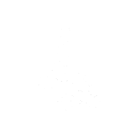 c1ccc(-c2ccc(-c3ccc(N(c4ccccc4)c4ccc5c(c4)c4ccccc4n5-c4nc5ccccc5c5nc6ccccc6n45)cc3)cc2)cc1